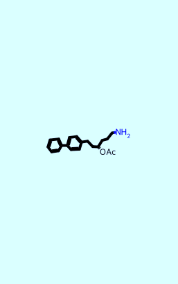 CC(=O)OC(CCCN)CCc1ccc(-c2ccccc2)cc1